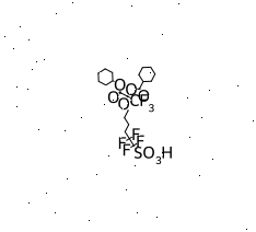 O=C(OC(OCCCCC(F)(F)C(F)(F)S(=O)(=O)O)(C(=O)OC1CCCCC1)C(F)(F)F)C1CCCCC1